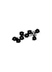 c1ccc(-c2nc(-c3ccccc3)nc(-c3cccc4c3oc3ccc(-n5c6ccccc6c6cc(-c7cccc8c7oc7ccccc78)ccc65)cc34)n2)cc1